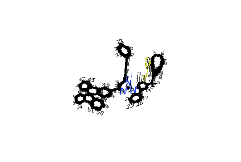 CC1(C)c2ccccc2Sc2cc3c(cc21)c1ccccc1n3-c1nc(-c2ccccc2)cc(-c2ccc3c(c2)-c2ccccc2C32c3ccccc3-c3ccccc32)n1